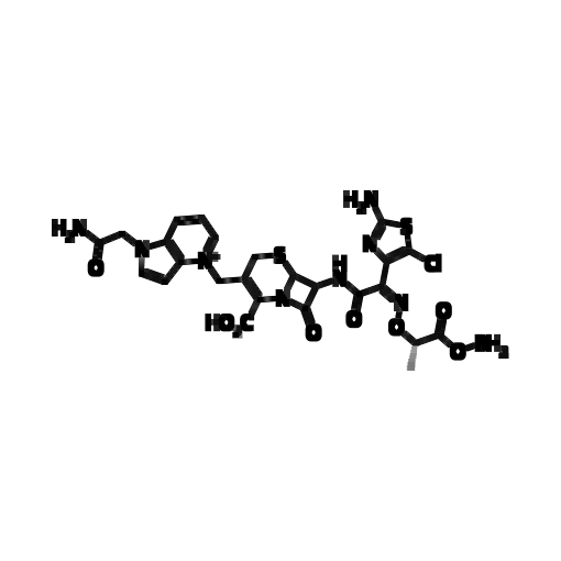 BOC(=O)[C@H](C)O/N=C(\C(=O)NC1C(=O)N2C(C(=O)O)=C(C[n+]3cccc4c3ccn4CC(N)=O)CSC12)c1nc(N)sc1Cl